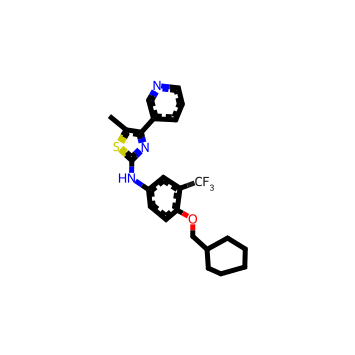 Cc1sc(Nc2ccc(OCC3CCCCC3)c(C(F)(F)F)c2)nc1-c1cccnc1